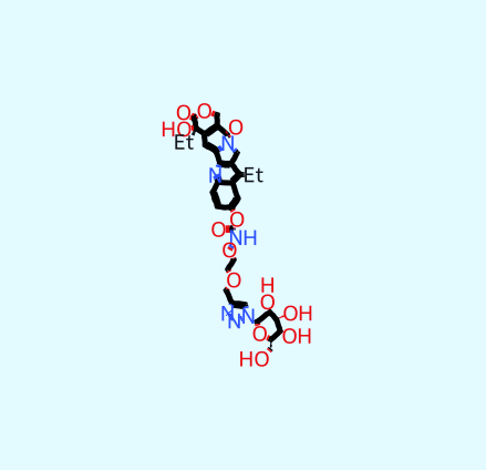 CCc1c2c(nc3ccc(OC(=O)NOCCOCc4cn([C@H]5O[C@@H](CO)[C@H](O)[C@@H](O)[C@@H]5O)nn4)cc13)-c1cc3c(c(=O)n1C2)COC(=O)[C@]3(O)CC